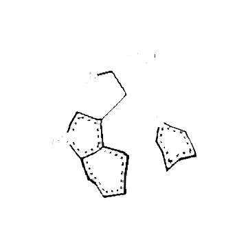 N[C@@H](Cc1c[nH]c2ccccc12)C(=O)O.c1ccsc1